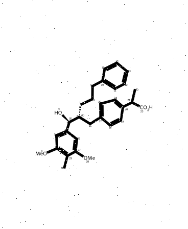 COc1cc([C@@H](O)[C@H](CCCc2ccccc2)Cc2ccc(C(C)C(=O)O)cc2)cc(OC)c1C